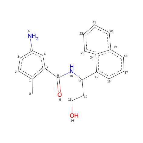 Cc1ccc(N)cc1C(=O)NC(CCO)c1cccc2ccccc12